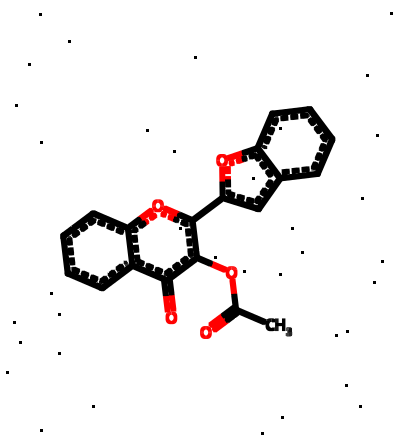 CC(=O)Oc1c(-c2cc3ccccc3o2)oc2ccccc2c1=O